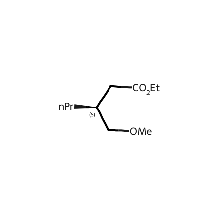 CCC[C@H](COC)CC(=O)OCC